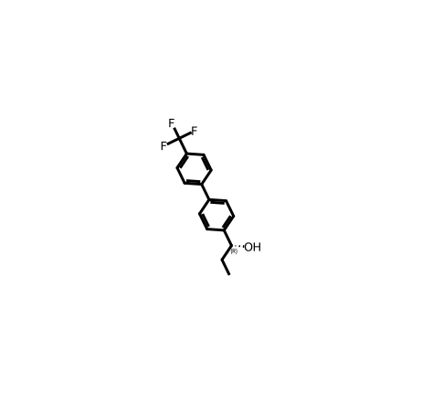 CC[C@@H](O)c1ccc(-c2ccc(C(F)(F)F)cc2)cc1